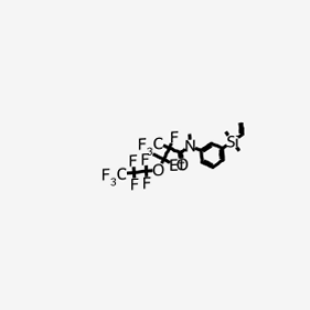 C=C[Si](C)(C)c1cccc(N(C)C(=O)C(F)(C(F)(F)F)C(C)(CC)OC(F)(F)C(F)(F)C(F)(F)F)c1